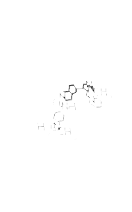 Cn1ncc(-c2ccc3cnc(NC(=O)[C@H]4CC[C@H](N(C)C)CC4)cc3c2)c1CN1CCCCC1